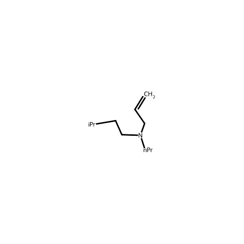 C=CCN(CCC)CCC(C)C